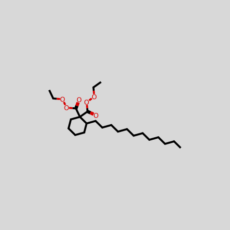 CCCCCCCCCCCCC1CCCCC1(C(=O)OOCC)C(=O)OOCC